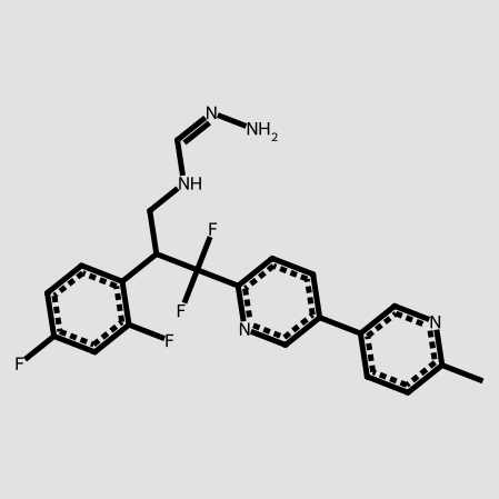 Cc1ccc(-c2ccc(C(F)(F)C(CN/C=N\N)c3ccc(F)cc3F)nc2)cn1